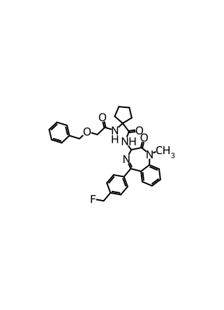 CN1C(=O)C(NC(=O)C2(NC(=O)COCc3ccccc3)CCCC2)N=C(c2ccc(CF)cc2)c2ccccc21